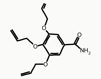 C=CCOc1cc(C(N)=O)cc(OCC=C)c1OCC=C